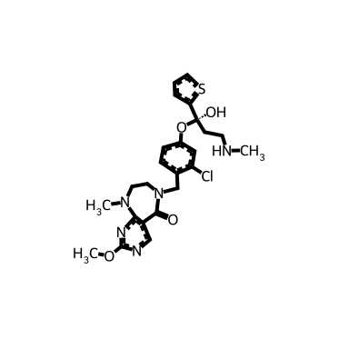 CNCC[C@@](O)(Oc1ccc(CN2CCN(C)c3nc(OC)ncc3C2=O)c(Cl)c1)c1cccs1